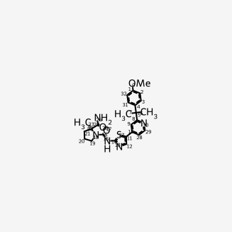 COc1ccc(C(C)(C)c2cc(-c3cnc(NC(=O)N4CCC[C@@]4(C)C(N)=O)s3)ccn2)cc1